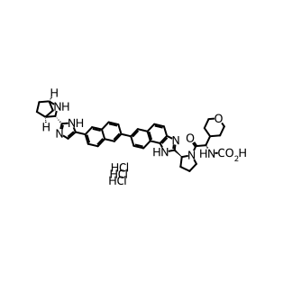 Cl.Cl.Cl.O=C(O)N[C@H](C(=O)N1CCC[C@H]1c1nc2ccc3cc(-c4ccc5cc(-c6cnc([C@H]7N[C@@H]8CC[C@H]7C8)[nH]6)ccc5c4)ccc3c2[nH]1)C1CCOCC1